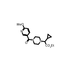 CCOC(=O)C(C1CC1)N1CCN(C(=O)c2ccc(OC)nc2)CC1